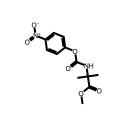 COC(=O)C(C)(C)NC(=O)Oc1ccc([N+](=O)[O-])cc1